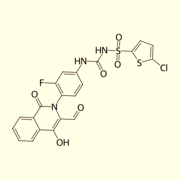 O=Cc1c(O)c2ccccc2c(=O)n1-c1ccc(NC(=O)NS(=O)(=O)c2ccc(Cl)s2)cc1F